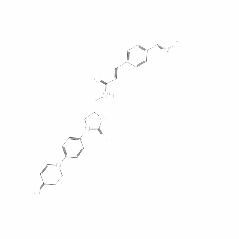 O=C1C=CN(c2ccc(N3C[C@H](CNC(=O)C=Cc4ccc(C=NO)cc4)OC3=O)cc2)CC1